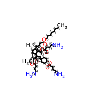 CCCCCCCCOC(=O)CC[C@@H](C)C1CC[C@H]2C([C@@H](CC)OC(=O)CCCN)[C@@H]([C@]3(C)CC[C@H](OC(=O)CCCN)CC3)C[C@H](OC(=O)CCCN)[C@]12C